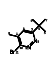 Cc1cc(C(C)(C)C)nnc1Br